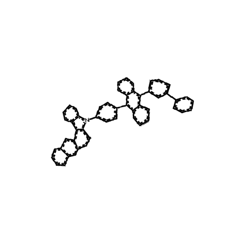 c1ccc(-c2cccc(-c3c4ccccc4c(-c4ccc(-n5c6ccccc6c6c7cc8ccccc8cc7ccc65)cc4)c4ccccc34)c2)cc1